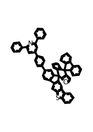 c1ccc(-c2cc(-c3ccc(-c4ccc5c(c4)C4(c6cc7c(cc6-5)sc5ccccc57)c5ccccc5C5(c6ccccc6-c6ccccc65)c5ccccc54)cc3)cc(-c3ccccc3)n2)cc1